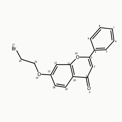 O=c1cc(-c2ccccc2)oc2cc(OCCBr)ccc12